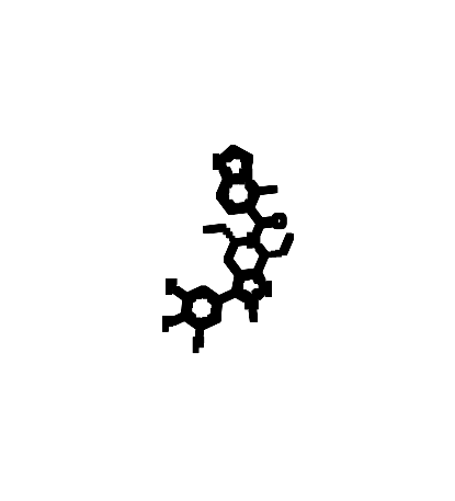 CC[C@H]1Cc2c(nn(C)c2-c2cc(F)c(F)c(F)c2)[C@@H](CC)N1C(=O)c1ccc2nccn2c1C